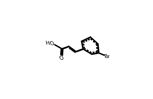 O=C(O)C=Cc1cccc(Br)c1